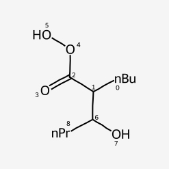 CCCCC(C(=O)OO)C(O)CCC